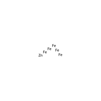 [Fe].[Fe].[Fe].[Fe].[Fe].[Zn]